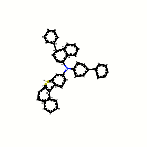 c1ccc(-c2ccc(N(c3ccc4c(c3)sc3ccc5ccccc5c34)c3ccc(-c4ccccc4)c4ccccc34)cc2)cc1